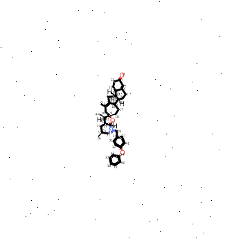 CC1=C2C[C@H]3[C@@H](CCC4=CC(=O)CC[C@@]43C)[C@@H]2CC[C@@]2(C1)O[C@H]1[C@@H](C[C@H](C)CN1Cc1ccc(Oc3ccccc3)cc1)[C@H]2C